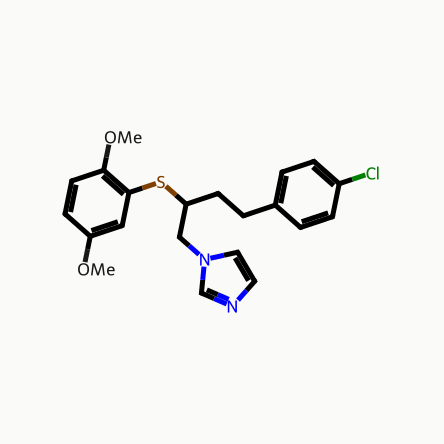 COc1ccc(OC)c(SC(CCc2ccc(Cl)cc2)Cn2ccnc2)c1